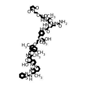 Cc1c(Nc2nc3ccccc3s2)nnc2c1CCCN2c1ccc(-c2cnn(CC34CC5(OCC[N+](C)(CC(=O)O)Cc6ccc(NC(=O)[C@H](CCCNC(N)=O)NC(=O)[C@@H](NC(=O)CCOCCN7C(=O)C=CC7=O)C(C)C)cc6)C[C@](C)(C3)C[C@](C)(C4)C5)c2C)c(C(=O)O)n1